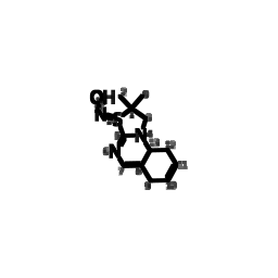 CC1(C)CN2C(=NC=C3CC=CCC32)S1=NO